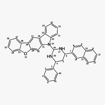 c1ccc(C2CC(c3ccc4ccccc4c3)NC(n3c4ccccc4c4cc5c(cc43)oc3ccccc35)N2)cc1